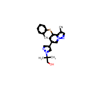 CC(C)(CO)n1cc(-c2cc(Sc3ccccc3C#N)c3c(C#N)cnn3c2)cn1